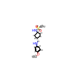 CC(C)(C)Oc1ccc(NC[C@H]2CC[C@H](NS(=O)(=O)C(C)(C)C)CC2)cc1